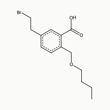 CCCCOCc1ccc(CCBr)cc1C(=O)O